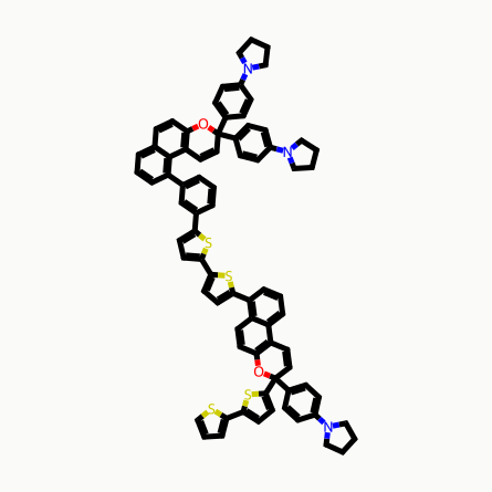 C1=CC(c2ccc(N3CCCC3)cc2)(c2ccc(-c3cccs3)s2)Oc2ccc3c(-c4ccc(-c5ccc(-c6cccc(-c7cccc8ccc9c(c78)C=CC(c7ccc(N8CCCC8)cc7)(c7ccc(N8CCCC8)cc7)O9)c6)s5)s4)cccc3c21